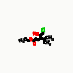 CCOC(=O)/C=C/C(C(C)C)[C@@H](O)CCl